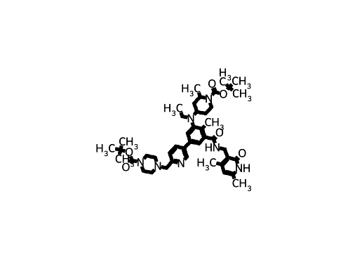 CCN(c1cc(-c2ccc(CN3CCN(C(=O)OC(C)(C)C)CC3)nc2)cc(C(=O)NCc2c(C)cc(C)[nH]c2=O)c1C)C1CCN(C(=O)OC(C)(C)C)C(C)C1